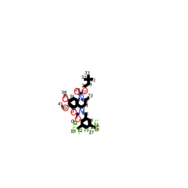 COC(=O)N(Cc1cc(C(F)(F)F)cc(C(F)(F)F)c1)C1CC(C)N(C(=O)OCCC(C)(C)C)c2cc(OC)c(OC)cc21